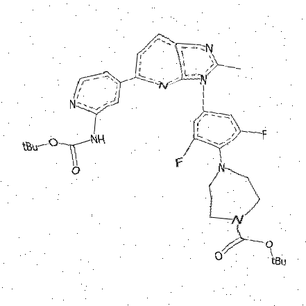 Cc1nc2ccc(-c3ccnc(NC(=O)OC(C)(C)C)c3)nc2n1-c1cc(F)c(N2CCN(C(=O)OC(C)(C)C)CC2)c(F)c1